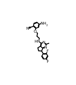 Cc1nc(NCCCOc2cc(N)ccc2C#N)c2c(n1)C(c1ccc(F)cc1F)CC2